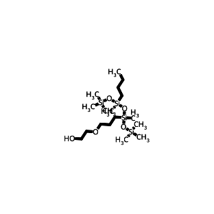 CCCC[Si](C)(O[Si](C)(C)C)O[Si](C)(CCCOCCO)O[Si](C)(C)C